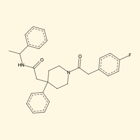 CC(NC(=O)CC1(c2ccccc2)CCN(C(=O)Cc2ccc(F)cc2)CC1)c1ccccc1